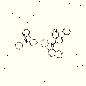 c1ccc(-n2c3ccccc3c3cc(-c4ccc5c(c4)c4ccc6ccccc6c4n5-c4ccc5c6c(nccc46)-c4ccccc4-5)ccc32)cc1